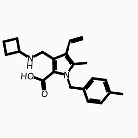 C=Cc1c(CNC2CCC2)c(C(=O)O)n(Cc2ccc(C)cc2)c1C